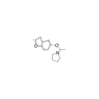 CC(Oc1ccc2o[c]cc2c1)N1CCCC1